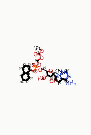 CC(C)OC(=O)OCOP(=O)(OC[C@H]1O[C@@](C#N)(c2ccc3c(N)ncnn23)[C@H](O)[C@@H]1O)Oc1cccc2ccccc12